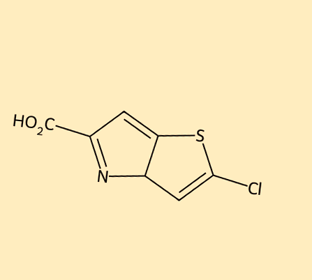 O=C(O)C1=NC2C=C(Cl)SC2=C1